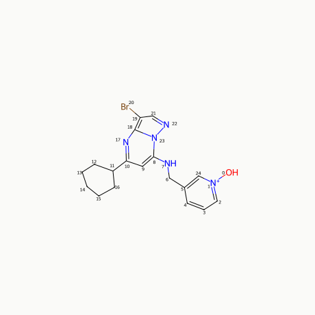 O[n+]1cccc(CNc2cc(C3CCCCC3)nc3c(Br)cnn23)c1